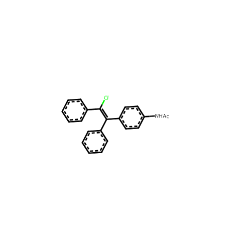 CC(=O)Nc1ccc(C(=C(Cl)c2ccccc2)c2ccccc2)cc1